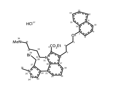 CCOC(=O)c1c(CCCOc2cccc3ccccc23)c2cccc(-c3cnn(C)c3CBr)c2n1CCCCNC.Cl